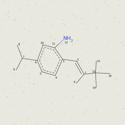 C/C(=C\c1ccc(C(C)C)cc1N)C(C)(C)C